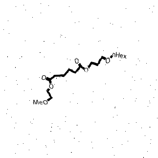 CCCCCCOCCCOC(=O)CCCCC(=O)OCCOC